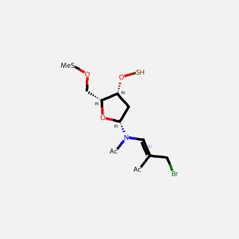 CSOC[C@H]1O[C@@H](N(/C=C(/CBr)C(C)=O)C(C)=O)C[C@H]1OS